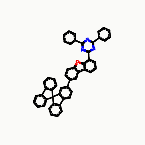 c1ccc(-c2nc(-c3ccccc3)nc(-c3cccc4c3oc3ccc(-c5ccc6c(c5)C5(c7ccccc7-c7ccccc75)c5ccccc5-6)cc34)n2)cc1